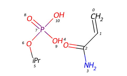 C=CC(N)=O.CC(C)OP(=O)(O)O